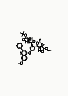 C=C[C@@H]1CC1(NC(=O)[C@@H]1C[C@@H](Oc2cc(-c3ccccc3)nc3cc(OC)ccc23)CN1C(=O)NNC(=O)OC(C)(C)C)C(=O)OCC